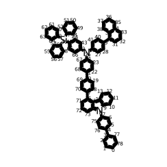 c1ccc(-c2ccc(-n3c4ccccc4c4c(-c5ccc(-c6ccc(N(c7ccc(-c8cccc9ccccc89)cc7)c7ccc([Si](c8ccccc8)(c8ccccc8)c8ccccc8)cc7)cc6)cc5)cccc43)cc2)cc1